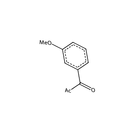 COc1cccc(C(=O)C(C)=O)c1